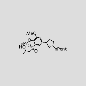 CCCCCC1CCC(c2cc(OC)c(OCCC)c(S(=O)(=O)CC(C)O)c2)S1